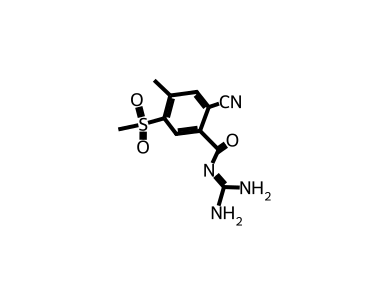 Cc1cc(C#N)c(C(=O)N=C(N)N)cc1S(C)(=O)=O